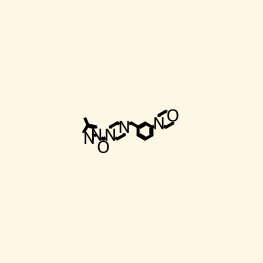 Cc1cnn(C(=O)N2CCN(Cc3cccc(N4CCOCC4)c3)CC2)c1